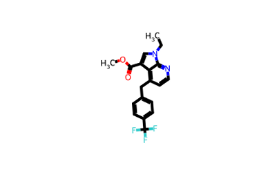 CCn1cc(C(=O)OC)c2c(Cc3ccc(C(F)(F)F)cc3)ccnc21